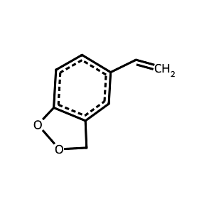 C=Cc1ccc2c(c1)COO2